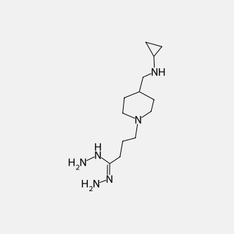 N/N=C(/CCCN1CCC(CNC2CC2)CC1)NN